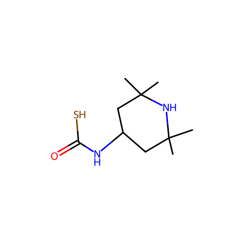 CC1(C)CC(NC(=O)S)CC(C)(C)N1